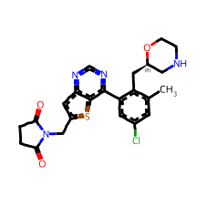 Cc1cc(Cl)cc(-c2ncnc3cc(CN4C(=O)CCC4=O)sc23)c1C[C@@H]1CNCCO1